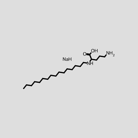 CCCCCCCCCCCCCCCCNC(CCCN)C(=O)O.[NaH]